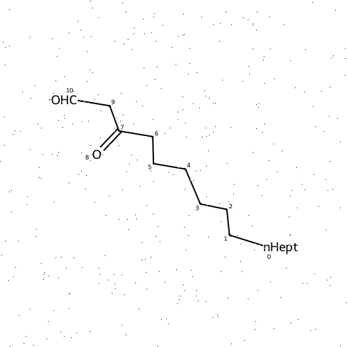 CCCCCCCCCCCCCC(=O)C[C]=O